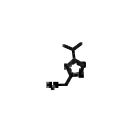 CC(C)c1nc(CN)no1